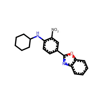 O=[N+]([O-])c1cc(-c2nc3ccccc3o2)ccc1NC1CCCCC1